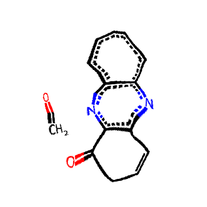 C=O.O=C1CC=Cc2nc3ccccc3nc21